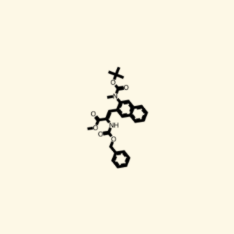 COC(=O)/C(=C/c1cc2ccccc2cc1N(C)C(=O)OC(C)(C)C)NC(=O)OCc1ccccc1